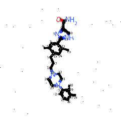 Cc1cc(-c2nc(C(N)=O)c[nH]2)c(C)cc1CCCN1CCN(c2cccc(C)c2C)CC1